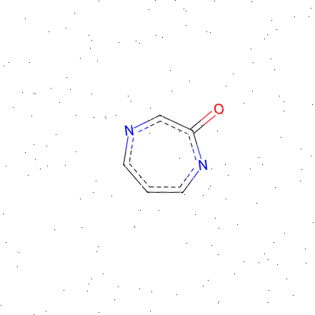 O=c1cncccn1